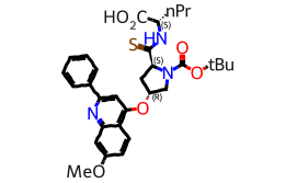 CCC[C@H](NC(=S)[C@@H]1C[C@@H](Oc2cc(-c3ccccc3)nc3cc(OC)ccc23)CN1C(=O)OC(C)(C)C)C(=O)O